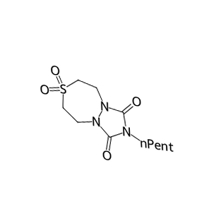 CCCCCn1c(=O)n2n(c1=O)CCS(=O)(=O)CC2